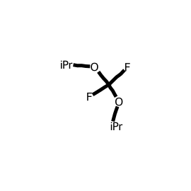 CC(C)OC(F)(F)OC(C)C